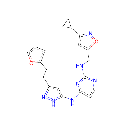 c1coc(CCc2cc(Nc3ccnc(NCc4cc(C5CC5)no4)n3)[nH]n2)c1